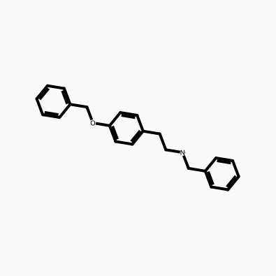 c1ccc(C[N]CCc2ccc(OCc3ccccc3)cc2)cc1